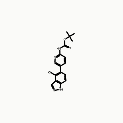 CC(C)(C)OC(=O)Nc1ccc(-c2ccc3[nH]ncc3c2Cl)cn1